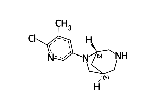 Cc1cc(N2C[C@@H]3CNC[C@@H]2C3)cnc1Cl